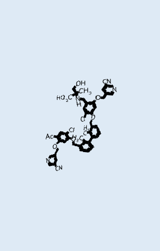 CC(=O)c1cc(Cl)c(OCc2cccc(-c3cccc(COc4cc(OCc5cncc(C#N)c5)c(CNC(C)(CO)C(=O)O)cc4Cl)c3C)c2C)cc1OCc1cncc(C#N)c1